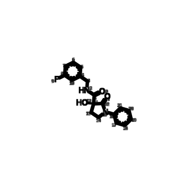 O=C(NCc1cccc(F)c1)[C@@]1(O)CCN(c2ccccc2)C1=O